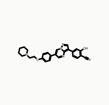 N#Cc1ccc(-c2cnn3cc(-c4ccc(OCCN5CCCCC5)cc4)cnc23)cc1O